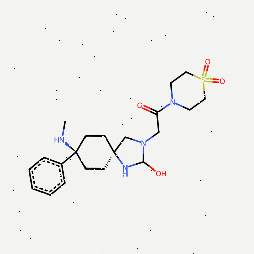 CN[C@]1(c2ccccc2)CC[C@]2(CC1)CN(CC(=O)N1CCS(=O)(=O)CC1)C(O)N2